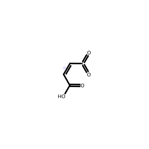 O=C(O)/C=C\I(=O)=O